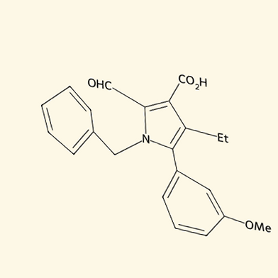 CCc1c(C(=O)O)c(C=O)n(Cc2ccccc2)c1-c1cccc(OC)c1